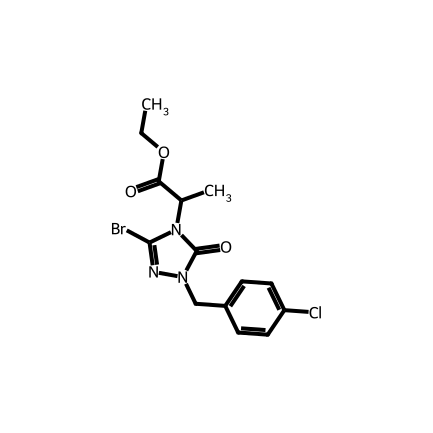 CCOC(=O)C(C)n1c(Br)nn(Cc2ccc(Cl)cc2)c1=O